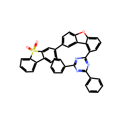 O=S1(=O)c2ccccc2-c2ccc(-c3ccc4oc5cccc(-c6nc(-c7ccccc7)nc(-c7ccccc7)n6)c5c4c3)cc21